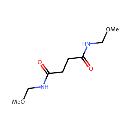 COCNC(=O)CCC(=O)NCOC